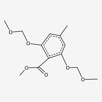 COCOc1cc(C)cc(OCOC)c1C(=O)OC